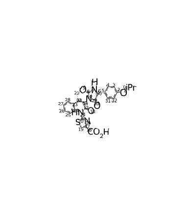 CC(C)Oc1ccc([C@H]2NC(=O)N([C@H](C(=O)Nc3nc(C(=O)O)cs3)[C@@H](C)c3ccccc3)C2=O)cc1